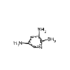 Bc1ncc(N)cc1N